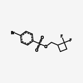 O=S(=O)(OCC1CCC1(F)F)c1ccc(Br)cc1